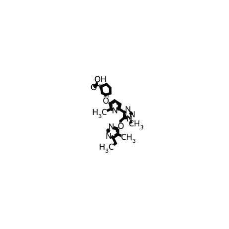 CCc1ncnc(OCc2c(-c3ccc(O[C@H]4CCC[C@H](C(=O)O)C4)c(C)n3)nnn2C)c1C